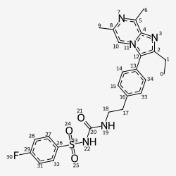 CCc1nc2c(C)nc(C)cn2c1-c1ccc(CCNC(=O)NS(=O)(=O)c2ccc(F)cc2)cc1